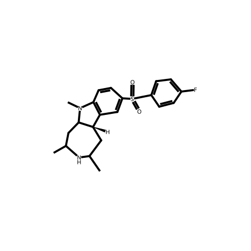 CC1CC2[C@@H](CC(C)N1)c1cc(S(=O)(=O)c3ccc(F)cc3)ccc1N2C